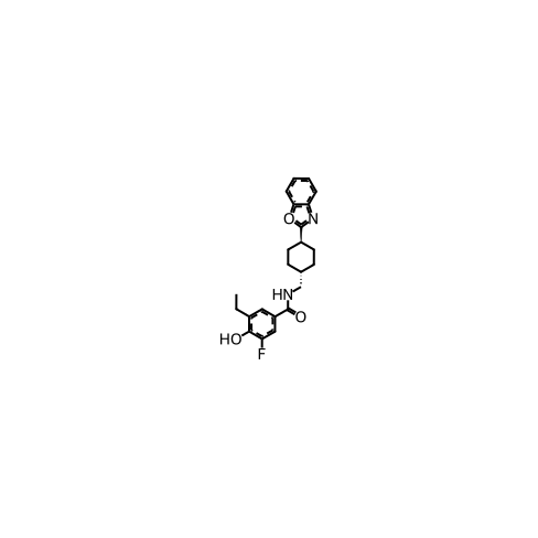 CCc1cc(C(=O)NC[C@H]2CC[C@H](c3nc4ccccc4o3)CC2)cc(F)c1O